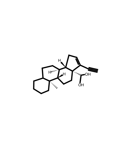 C#CC1=CC[C@H]2[C@@H]3CCC4CCCC[C@]4(C)[C@H]3CC[C@]12C(O)O